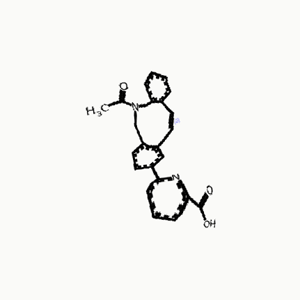 CC(=O)N1Cc2ccc(-c3cccc(C(=O)O)n3)cc2/C=C\c2ccccc21